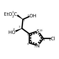 CCOC(=O)[C@@H](O)[C@H](O)c1cnc(Cl)s1